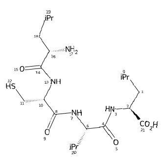 CC(C)C[C@H](NC(=O)[C@@H](NC(=O)[C@H](CS)NC(=O)[C@@H](N)CC(C)C)C(C)C)C(=O)O